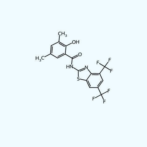 Cc1cc(C)c(O)c(C(=O)Nc2nc3c(C(F)(F)F)cc(C(F)(F)F)cc3s2)c1